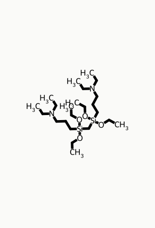 CCO[Si](CCCN(CC)CC)(C[Si](CCCN(CC)CC)(OCC)OCC)OCC